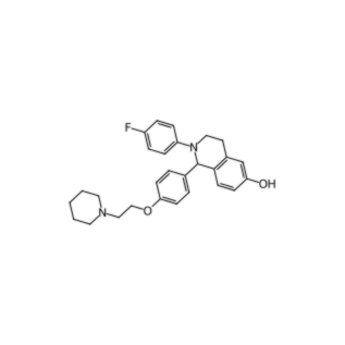 Oc1ccc2c(c1)CCN(c1ccc(F)cc1)C2c1ccc(OCCN2CCCCC2)cc1